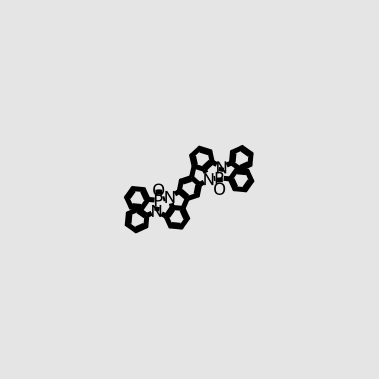 O=P1(c2ccccc2)N(c2ccccc2)c2cccc3c4cc5c(cc4n1c23)c1cccc2c1n5P(=O)(c1ccccc1)N2c1ccccc1